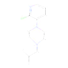 C[C](C)CN1CCN(c2cccnc2Cl)CC1